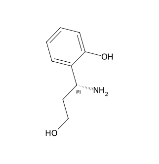 N[C@H](CCO)c1ccccc1O